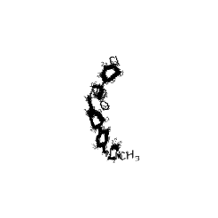 CN1CCN(Cc2ccc(-c3ccc(CN4C[C@@H](c5ccc(Cl)cc5)OC4=O)cc3)cc2)CC1